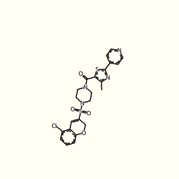 Cc1nc(-c2ccncc2)sc1C(=O)N1CCN(S(=O)(=O)C2=Cc3c(Cl)cccc3OC2)CC1